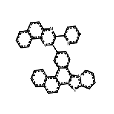 c1ccc(-c2nc3ccc4ccccc4c3nc2-c2ccc3c(c2)c2c4ccccc4ccc2c2nc4ccccn4c32)nc1